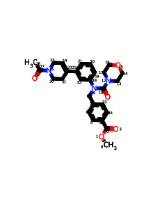 COC(=O)c1ccc(CN(C(=O)N2CCOCC2)c2cccc(C3=CCN(C(C)=O)CC3)c2)cc1